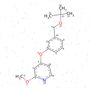 COc1cc(Oc2cccc(COC(C)(C)C)c2)ccn1